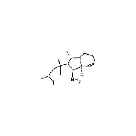 CC(I)CC(C)(C)C1C(N)[C@@H]2C=CCCC2[C@H]1C